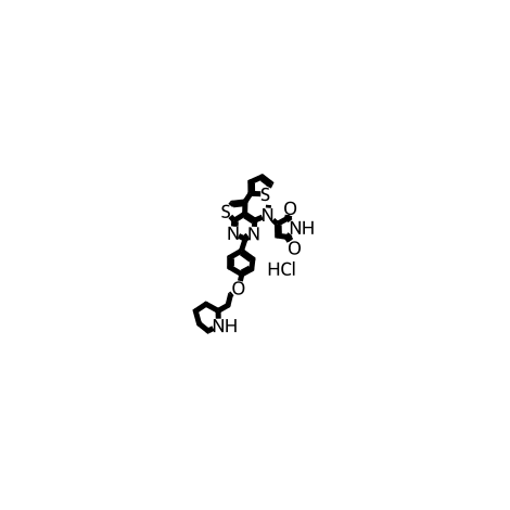 CN(C1=CC(=O)NC1=O)c1nc(-c2ccc(OCCC3CCCCN3)cc2)nc2scc(-c3cccs3)c12.Cl